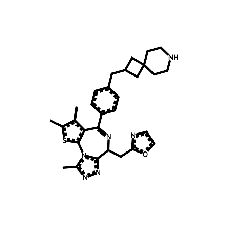 Cc1sc2c(c1C)C(c1ccc(CC3CC4(CCNCC4)C3)cc1)=NC(Cc1ncco1)c1nnc(C)n1-2